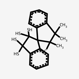 CC1(C)c2ccccc2C2(c3ccccc3C(S)(S)C2(S)S)C1(C)C